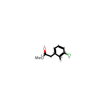 COC(=O)Cc1cccc(Cl)c1C